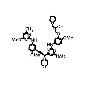 CNc1cc(C)nc(Nc2ccc(OC)c(C#CC(c3cc(NC)nc(Nc4ccc(OC)c(OC[C@@H](O)CN5CCCC5)c4)n3)N3CCOCC3)c2)n1